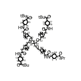 CC(C)C(=O)c1ccc(NC(=O)Cn2cc(COCC(COCc3cn(CC(=O)Nc4ccc(C(=O)C(C)(C)C)cc4)nn3)(COCc3cn(CC(=O)Nc4ccc(C(=O)C(C)(C)C)cc4)nn3)COCc3cn(CC(=O)Nc4ccc(C(=O)C(C)(C)C)cc4)nn3)nn2)cc1